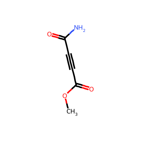 COC(=O)C#CC(N)=O